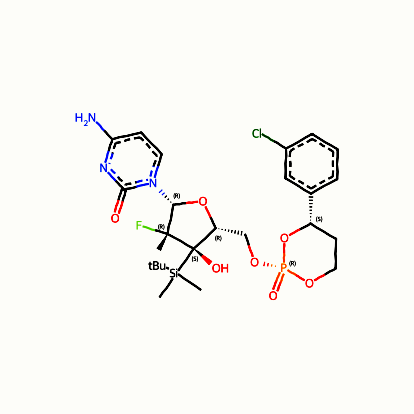 CC(C)(C)[Si](C)(C)[C@@]1(O)[C@@H](CO[P@@]2(=O)OCC[C@@H](c3cccc(Cl)c3)O2)O[C@@H](n2ccc(N)nc2=O)[C@@]1(C)F